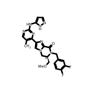 COC[C@H]1Cn2cc(-c3nc(Nc4ccn[nH]4)ncc3C)nc2C(=O)N1Cc1ccc(F)c(F)c1